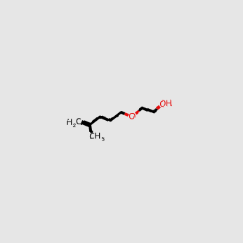 C=C(C)CCCOCCO